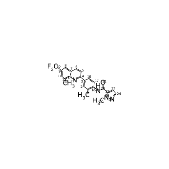 Cc1cc(-c2ccc3cc(C(F)(F)F)cc(C)c3n2)ccc1NC(=O)c1ccnn1C